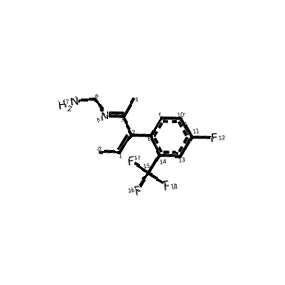 C/C=C(\C(C)=N\CN)c1ccc(F)cc1C(F)(F)F